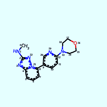 CNc1nc2cccc(-c3ccc(N4CCOCC4)nc3)n2n1